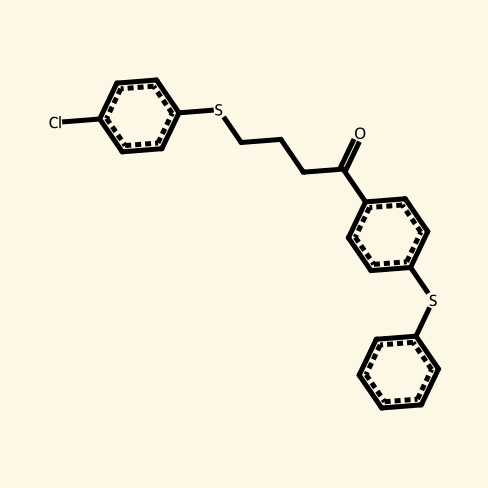 O=C(CCCSc1ccc(Cl)cc1)c1ccc(Sc2ccccc2)cc1